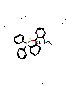 CCC(O[Si](c1ccccc1)(c1ccccc1)c1ccccc1)c1ccccc1[N+](=O)[O-]